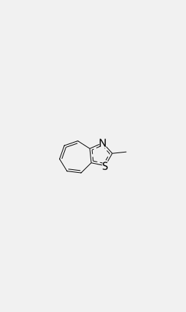 Cc1nc2c(s1)C=CC=C=C2